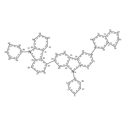 c1ccc(-n2c3ccc(-c4ccc5ccccc5c4)cc3c3ccc(-c4cccc5c4c4ccccc4n5-c4ccccc4)cc32)cc1